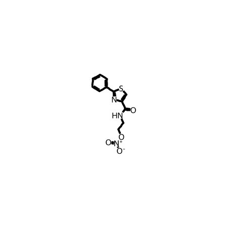 O=C(NCCO[N+](=O)[O-])c1csc(-c2ccccc2)n1